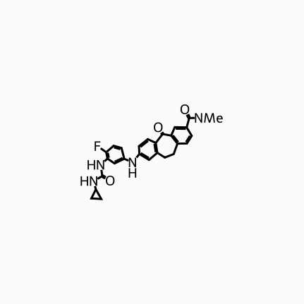 CNC(=O)c1ccc2c(c1)C(=O)c1ccc(Nc3ccc(F)c(NC(=O)NC4CC4)c3)cc1CC2